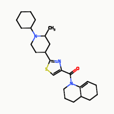 CC1CC(c2nc(C(=O)N3CCCC4CCCC=C43)cs2)CCN1C1CCCCC1